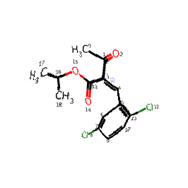 CC(=O)/C(=C/c1cc(Cl)ccc1Cl)C(=O)OC(C)C